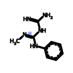 C/N=C(/NC(=N)N)Nc1ccccc1